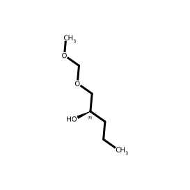 CCC[C@@H](O)COCOC